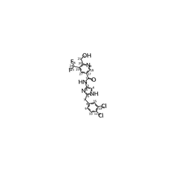 O=C(Nc1c[nH]c(Cc2ccc(Cl)c(Cl)c2)n1)c1cnc(CO)c(C(F)F)c1